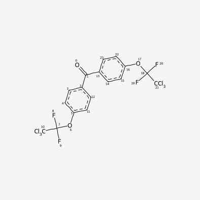 O=C(c1ccc(OC(F)(F)C(Cl)(Cl)Cl)cc1)c1ccc(OC(F)(F)C(Cl)(Cl)Cl)cc1